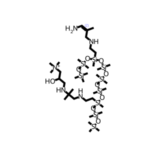 C/C(=C/N)CNCC[Si](C)(O[Si](C)(C)O[Si](C)(C)C)O[Si](C)(C)O[Si](C)(C)O[Si](C)(C)O[Si](C)(CCNCC(C)(C)NCC(O)C[N+](C)(C)C)O[Si](C)(C)O[Si](C)(C)C